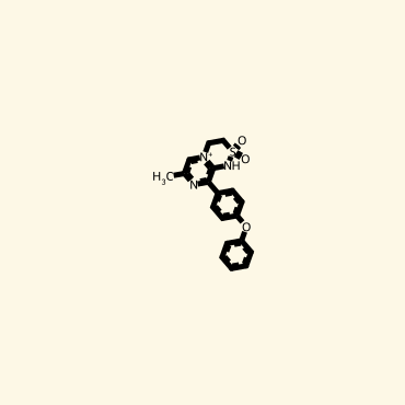 Cc1c[n+]2c(c(-c3ccc(Oc4ccccc4)cc3)n1)NS(=O)(=O)CC2